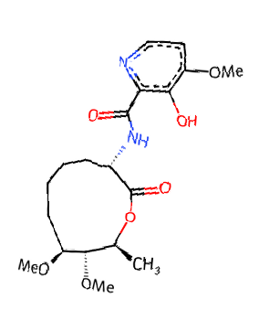 COc1ccnc(C(=O)N[C@H]2CCCC[C@H](OC)[C@@H](OC)[C@H](C)OC2=O)c1O